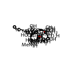 CN[C@H](CC(C)C)C(=O)N[C@H]1C(=O)N[C@@H](CC(N)=O)C(=O)N[C@H]2C(=O)N[C@H]3C(=O)N[C@H](C(=O)N[C@@H](C(=O)O)c4cc(O)cc(O)c4-c4cc3ccc4O)[C@H](OC3C[C@](C)(N)[C@@H](O)[C@H](C)O3)c3ccc(c(Cl)c3)Oc3cc2cc(c3O[C@@H]2O[C@H](CO)[C@@H](O[C@@H]3O[C@H](CNCCC4CCN(Cc5ccccc5)CC4)[C@H](O)[C@H](O)[C@H]3O)[C@H](O)[C@H]2O)Oc2ccc(cc2Cl)[C@H]1O